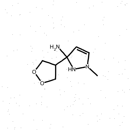 CN1C=CC(N)(C2COOC2)N1